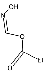 CCC(=O)O/C=N\O